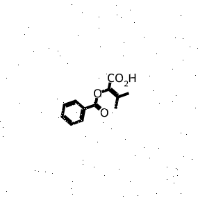 CC(C)=C(OC(=O)c1ccccc1)C(=O)O